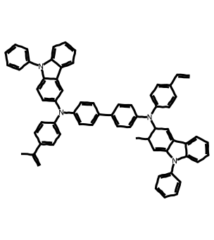 C=Cc1ccc(N(c2ccc(-c3ccc(N(c4ccc(C(=C)C)cc4)c4ccc5c(c4)c4ccccc4n5-c4ccccc4)cc3)cc2)C2C=c3c(n(-c4ccccc4)c4ccccc34)=CC2C)cc1